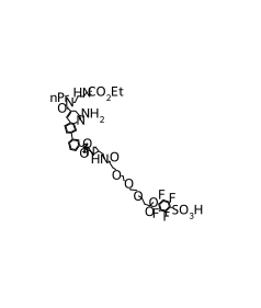 CCCN(CCCNC(=O)OCC)C(=O)C1=Cc2ccc(-c3cccc(S(=O)(=O)N4CC(CNC(=O)CCOCCOCCOCCC(=O)Oc5c(F)c(F)c(S(=O)(=O)O)c(F)c5F)C4)c3)cc2N=C(N)C1